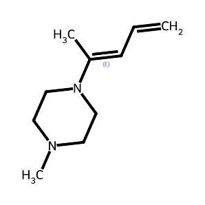 C=C/C=C(\C)N1CCN(C)CC1